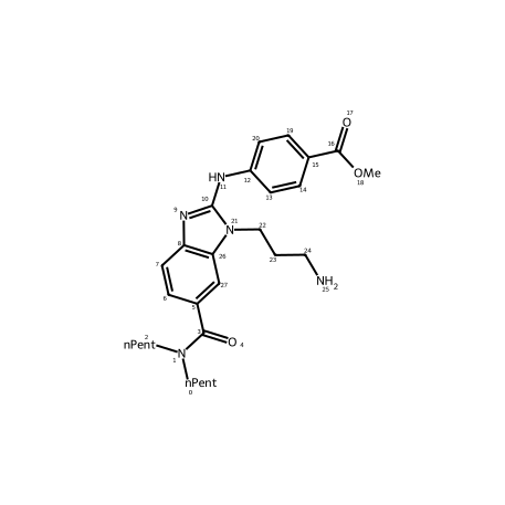 CCCCCN(CCCCC)C(=O)c1ccc2nc(Nc3ccc(C(=O)OC)cc3)n(CCCN)c2c1